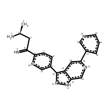 C[C@H](N)CC(=N)c1ccc(-c2n[nH]c3cnc(-c4cccnc4)cc23)cn1